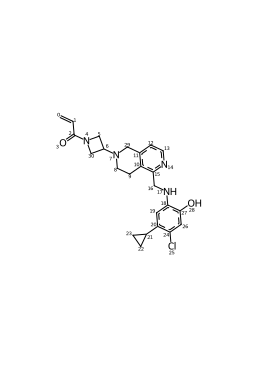 C=CC(=O)N1CC(N2CCc3c(ccnc3CNc3cc(C4CC4)c(Cl)cc3O)C2)C1